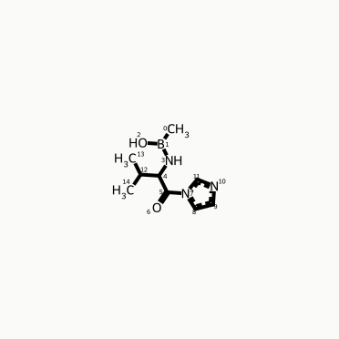 CB(O)NC(C(=O)n1ccnc1)C(C)C